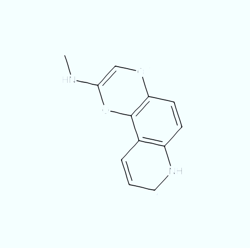 CNC1=COc2ccc3c(c2O1)C=CCN3